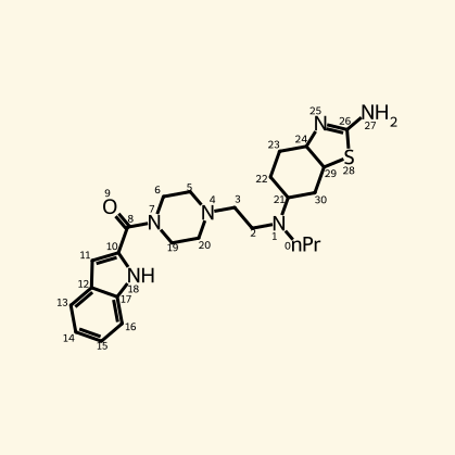 CCCN(CCN1CCN(C(=O)c2cc3ccccc3[nH]2)CC1)C1CCC2N=C(N)SC2C1